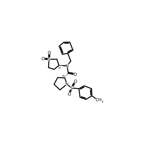 Cc1ccc(S(=O)(=O)N2CCC[C@@H]2C(=O)N(Cc2ccccc2)[C@H]2CCS(=O)(=O)C2)cc1